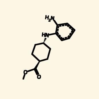 COC(=O)[C@H]1CC[C@H](Nc2ccccc2N)CC1